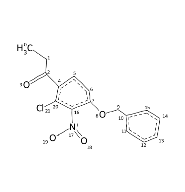 CCC(=O)c1ccc(OCc2ccccc2)c([N+](=O)[O-])c1Cl